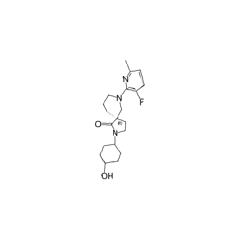 Cc1ccc(F)c(N2CCC[C@@]3(CCN(C4CCC(O)CC4)C3=O)C2)n1